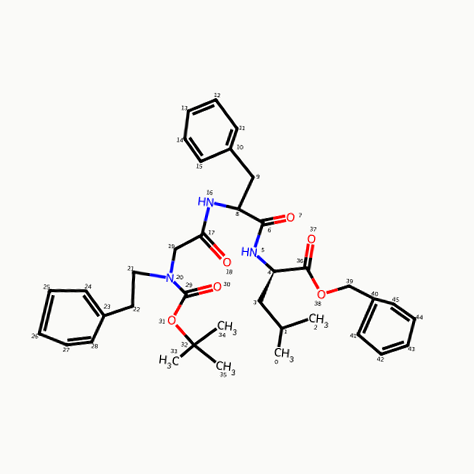 CC(C)C[C@@H](NC(=O)C(Cc1ccccc1)NC(=O)CN(CCc1ccccc1)C(=O)OC(C)(C)C)C(=O)OCc1ccccc1